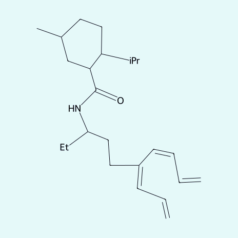 C=C/C=C\C(=C/C=C)CCC(CC)NC(=O)C1CC(C)CCC1C(C)C